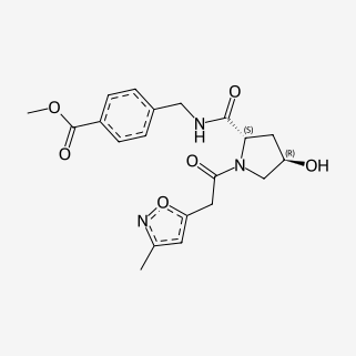 COC(=O)c1ccc(CNC(=O)[C@@H]2C[C@@H](O)CN2C(=O)Cc2cc(C)no2)cc1